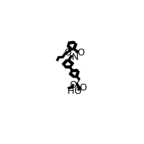 CCCCOc1ccccc1C(=O)N(C)Cc1cccc(-c2ccc(C[C@H](OCC)C(=O)O)cc2)c1